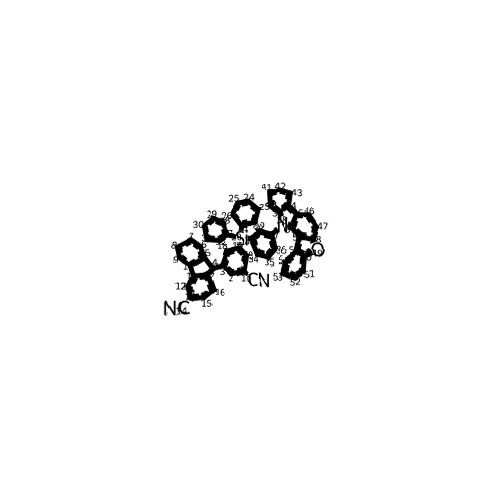 N#Cc1cc(C2c3ccccc3-c3cc(C#N)ccc32)cc([Si](c2ccccc2)(c2ccccc2)c2cccc(-n3c4ccccc4c4ccc5oc6ccccc6c5c43)c2)c1